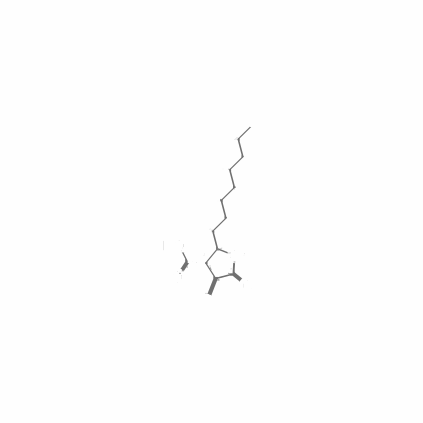 C=C1C(=O)OC(CCCCCCCC)[C@H]1C(=O)O